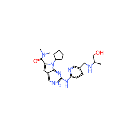 C=C(/N=C1\C(=C/N)C=C(C(=O)N(C)C)N1C1CCCC1)Nc1ccc(CN[C@H](C)CO)cn1